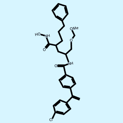 C=C(c1ccc(Cl)cc1)c1ccc(C(=O)NC(COCOC)CC(CCCc2ccccc2)C(=O)NO)cc1